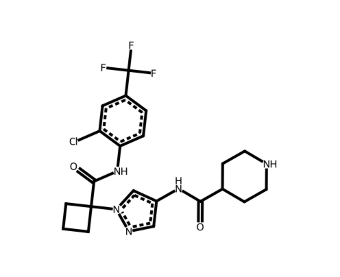 O=C(Nc1cnn(C2(C(=O)Nc3ccc(C(F)(F)F)cc3Cl)CCC2)c1)C1CCNCC1